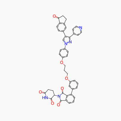 O=C1CCC(N2C(=O)c3cccc(-c4cccc(OCCCOc5ccc(-n6cc(-c7ccc8c(c7)CCC8=O)c(-c7ccncc7)n6)cc5)c4)c3C2=O)C(=O)N1